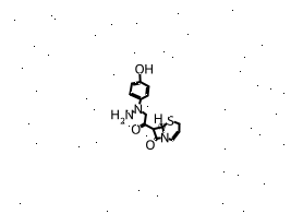 NN(CC(=O)C1C(=O)N2C=CCS[C@@H]12)c1ccc(O)cc1